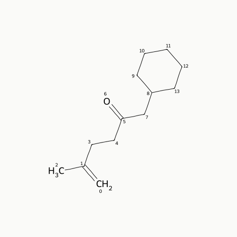 C=C(C)CCC(=O)CC1CCCCC1